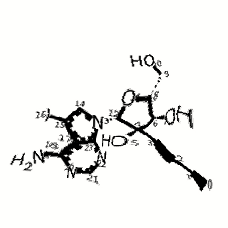 C#CC#C[C@@]1(O)[C@H](O)[C@@H](CO)O[C@H]1n1cc(I)c2c(N)ncnc21